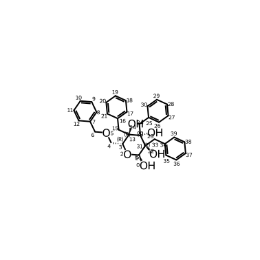 O[C@H]1O[C@H](COCc2ccccc2)[C@](O)(Cc2ccccc2)[C@@](O)(Cc2ccccc2)[C@]1(O)Cc1ccccc1